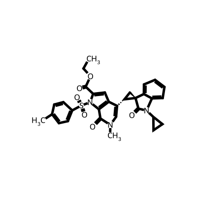 CCOC(=O)c1cc2c([C@@H]3C[C@@]34C(=O)N(C3CC3)c3ccccc34)cn(C)c(=O)c2n1S(=O)(=O)c1ccc(C)cc1